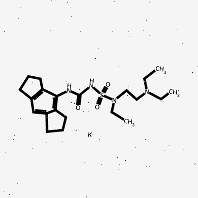 CCN(CC)CCN(CC)S(=O)(=O)NC(=O)Nc1c2c(cc3c1CCC3)CCC2.[K]